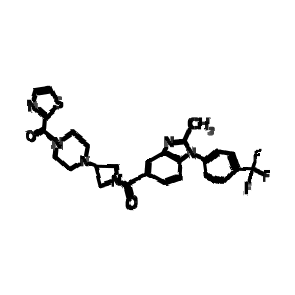 Cc1nc2cc(C(=O)N3CC(N4CCN(C(=O)c5nccs5)CC4)C3)ccc2n1-c1ccc(C(F)(F)F)cc1